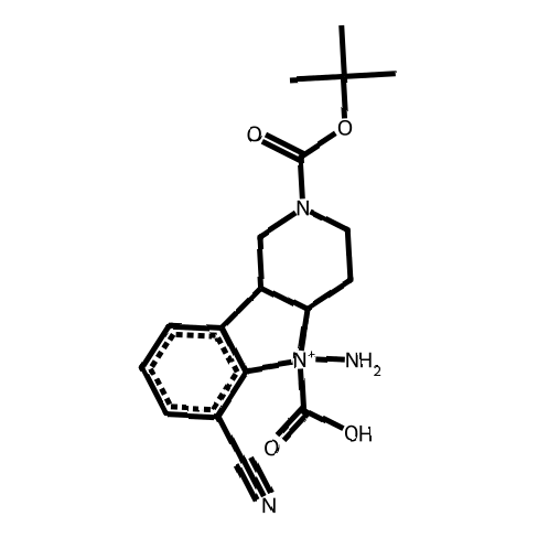 CC(C)(C)OC(=O)N1CCC2C(C1)c1cccc(C#N)c1[N+]2(N)C(=O)O